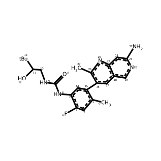 Cc1cc(F)c(NC(=O)NCC(O)C(C)(C)C)cc1-c1cc2cnc(N)cc2nc1C